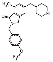 Cc1cc(CC2CCNCC2)cc2c1C(=O)N(Cc1ccc(OC(F)(F)F)cc1)C2